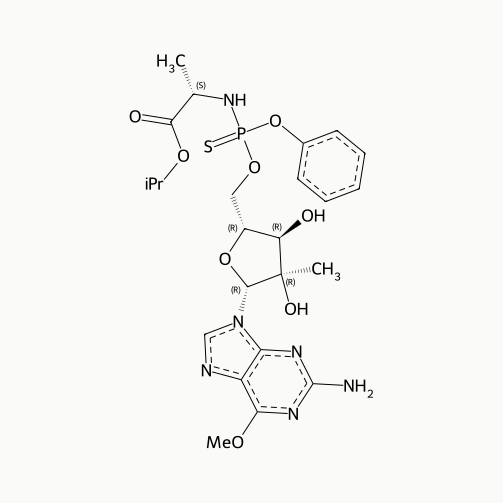 COc1nc(N)nc2c1ncn2[C@@H]1O[C@H](COP(=S)(N[C@@H](C)C(=O)OC(C)C)Oc2ccccc2)[C@@H](O)[C@@]1(C)O